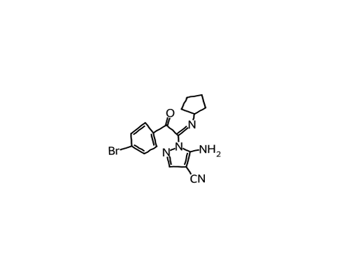 N#Cc1cnn(C(=NC2CCCC2)C(=O)c2ccc(Br)cc2)c1N